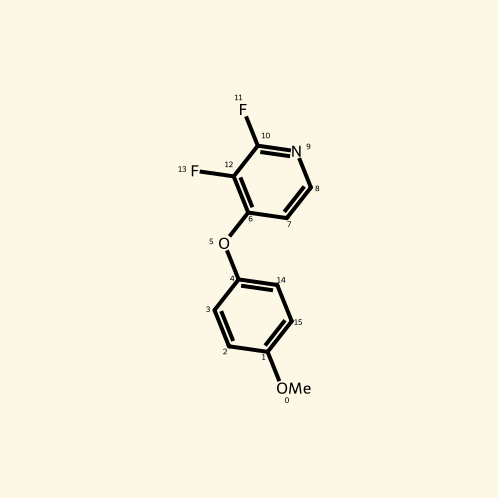 COc1ccc(Oc2ccnc(F)c2F)cc1